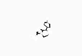 Cc1nnc2n1CCNC2c1ccc(F)cc1